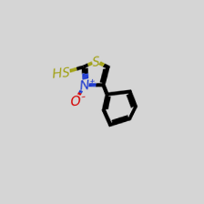 [O-][n+]1c(-c2ccccc2)csc1S